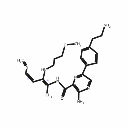 C=N/C=C\C(NCCCOC)=C(/C)NC(=O)c1nc(-c2ccc(CCN)cc2)cnc1N